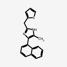 Cc1[nH]c(Cc2cccs2)nc1-c1cccc2ccccc12